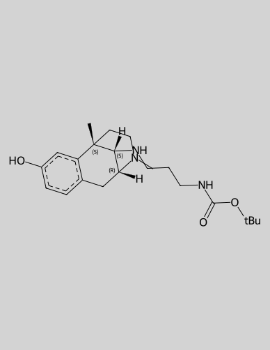 CN1CC[C@@]2(C)c3cc(O)ccc3C[C@@H]1[C@H]2NCCCNC(=O)OC(C)(C)C